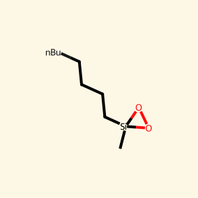 CCCCCCCC[Si]1(C)OO1